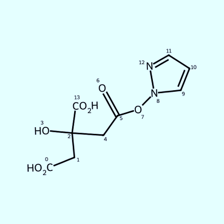 O=C(O)CC(O)(CC(=O)On1cccn1)C(=O)O